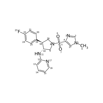 Cn1cnc(S(=O)(=O)N2C[C@H](Nc3ccccn3)[C@@H](c3ccc(F)cc3)C2)c1